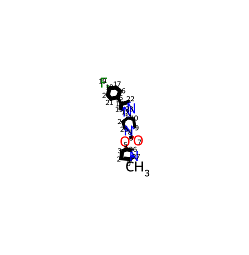 Cc1ccc(OC(=O)N2CCC(n3cc(-c4ccc(F)cc4)cn3)CC2)cn1